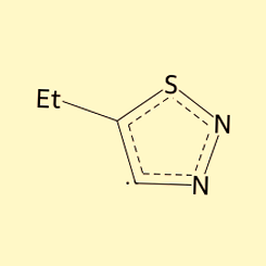 CCc1[c]nns1